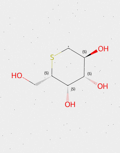 OC[C@@H]1S[CH][C@@H](O)[C@H](O)[C@@H]1O